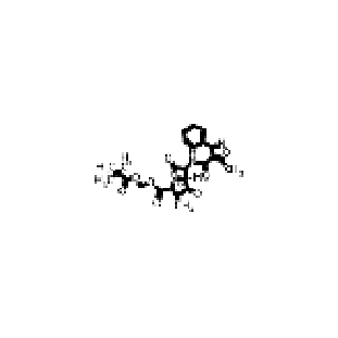 Cc1onc(-c2ccccc2)c1C(=O)NC1C(=O)N2C(C(=O)OCOC(=O)C(C)(C)C)C(C)C(=O)[C@H]12